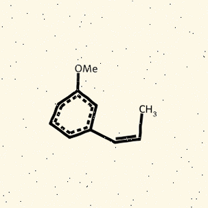 C/C=C\c1cc[c]c(OC)c1